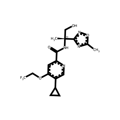 Cc1nc([C@@](C)(CO)NC(=O)c2cc(OCC(F)(F)F)c(C3CC3)cn2)no1